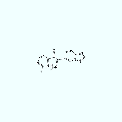 Cc1nccc(C(=O)C(=NO)c2ccc3ncnn3c2)n1